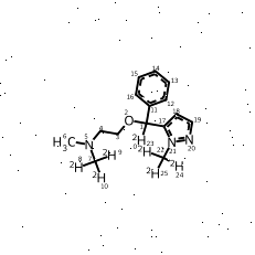 [2H]C(OCCN(C)C([2H])([2H])[2H])(c1ccccc1)c1ccnn1C([2H])([2H])[2H]